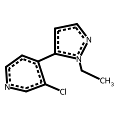 CCn1nccc1-c1ccncc1Cl